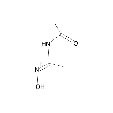 CC(=O)N/C(C)=N/O